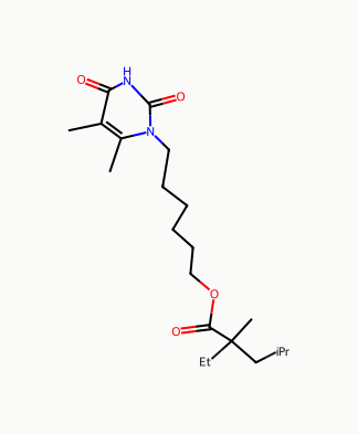 CCC(C)(CC(C)C)C(=O)OCCCCCCn1c(C)c(C)c(=O)[nH]c1=O